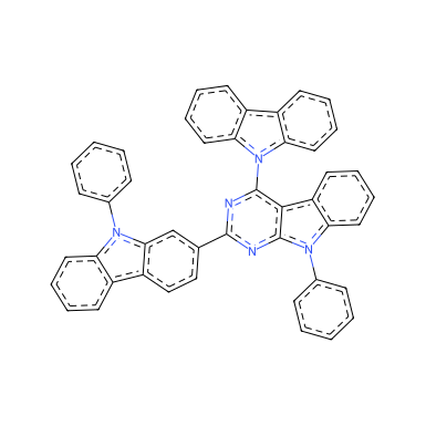 c1ccc(-n2c3ccccc3c3ccc(-c4nc(-n5c6ccccc6c6ccccc65)c5c6ccccc6n(-c6ccccc6)c5n4)cc32)cc1